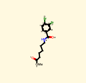 COC(=O)CCCCCNC(=O)c1ccc(Br)c(Br)c1